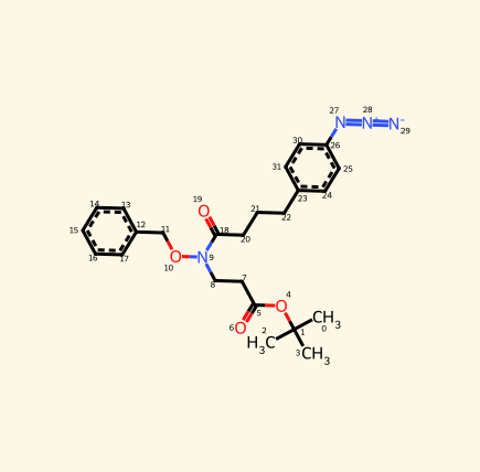 CC(C)(C)OC(=O)CCN(OCc1ccccc1)C(=O)CCCc1ccc(N=[N+]=[N-])cc1